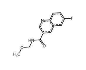 COCNC(=O)c1cnc2ccc(F)cc2c1